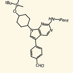 CCCC(C)Nc1ncc2c(-c3ccc(C=O)cc3)cn(C3CCC(O[Si](C)(C)C(C)(C)C)CC3)c2n1